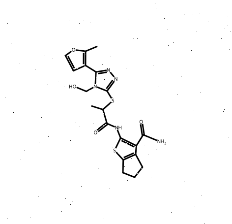 Cc1occc1-c1nnc(SC(C)C(=O)Nc2sc3c(c2C(N)=O)CCC3)n1CO